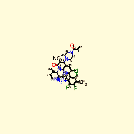 C=CC(=O)N1CCN(c2c(C#N)c(=O)n(C3=C(C)C=CNC3C(C)C)c3nc(-c4c(N)c(F)c(F)c(C(F)(F)F)c4F)c(Cl)cc23)CC1